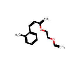 C=COCCOC(=C)/C=C\c1ccccc1C